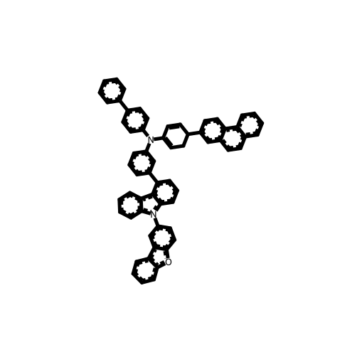 C1=CC(c2ccc3c(ccc4ccccc43)c2)CC=C1N(c1ccc(-c2ccccc2)cc1)c1cccc(-c2cccc3c2c2ccccc2n3-c2ccc3oc4ccccc4c3c2)c1